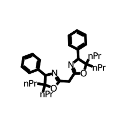 CCCC1(CCC)OC(CC2=NC(c3ccccc3)C(CCC)(CCC)O2)=NC1c1ccccc1